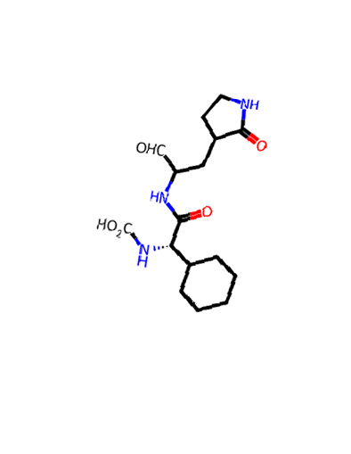 O=CC(CC1CCNC1=O)NC(=O)[C@@H](NC(=O)O)C1CCCCC1